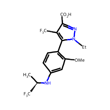 CCn1nc(C(=O)O)c(C(F)(F)F)c1-c1ccc(N[C@H](C)C(F)(F)F)cc1OC